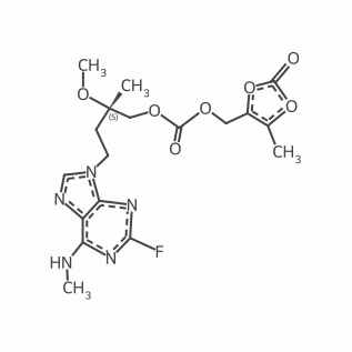 CNc1nc(F)nc2c1ncn2CC[C@@](C)(COC(=O)OCc1oc(=O)oc1C)OC